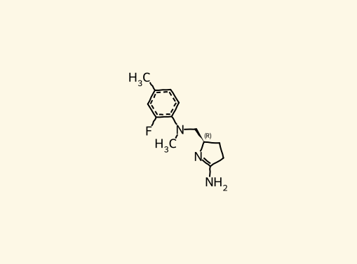 Cc1ccc(N(C)C[C@H]2CCC(N)=N2)c(F)c1